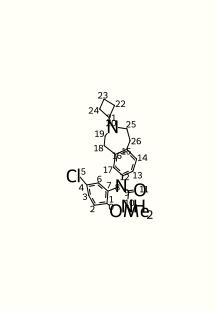 COc1ccc(Cl)cc1N(C(N)=O)c1ccc2c(c1)CCN(C1CCC1)CC2